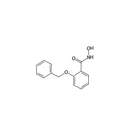 O=C(NO)c1ccccc1OCc1ccccc1